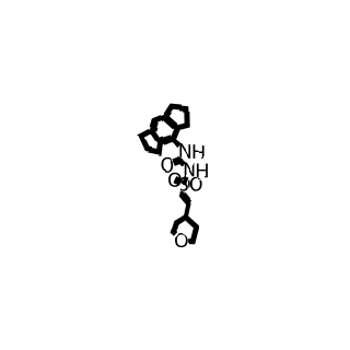 O=C(Nc1c2c(cc3c1CCC3)CCC2)NS(=O)(=O)/C=C/C1CCOCC1